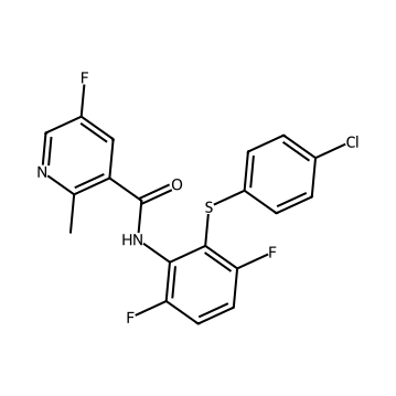 Cc1ncc(F)cc1C(=O)Nc1c(F)ccc(F)c1Sc1ccc(Cl)cc1